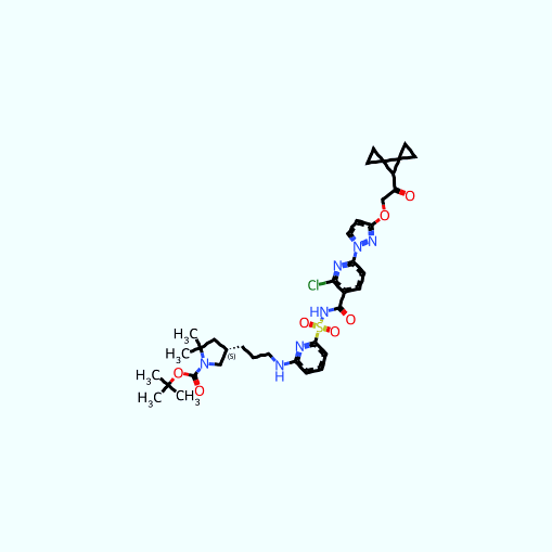 CC(C)(C)OC(=O)N1C[C@@H](CCCNc2cccc(S(=O)(=O)NC(=O)c3ccc(-n4ccc(OCC(=O)C5C6(CC6)C56CC6)n4)nc3Cl)n2)CC1(C)C